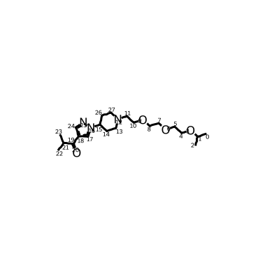 CC(C)OCCOCCOCCN1CCC(n2cc(C(=O)C(C)C)cn2)CC1